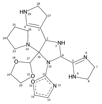 C1=C(C2N[C](C3=NCCN3)N(c3ncco3)C2(C2OCCO2)N2CCCC2)CCN1